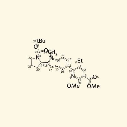 CCc1cc(C(=O)OC)c(OC)nc1-c1ccc2c(c1)cc([C@H]1CCCN1C(=O)OC(C)(C)C)n2C